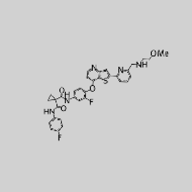 COCCNCc1cccc(-c2cc3nccc(Oc4ccc(NC(=O)C5(C(=O)Nc6ccc(F)cc6)CC5)cc4F)c3s2)n1